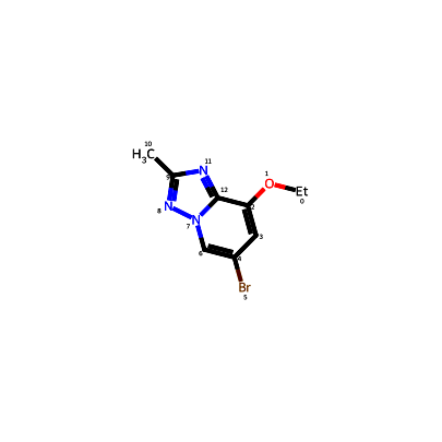 CCOc1cc(Br)cn2nc(C)nc12